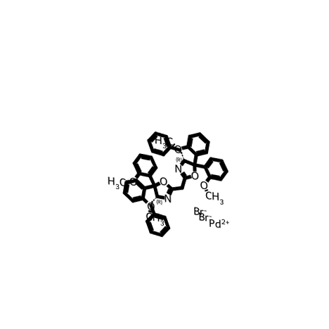 COc1ccccc1C1(c2ccccc2OC)OC(CC2=N[C@H](Cc3ccccc3)C(c3ccccc3OC)(c3ccccc3OC)O2)=N[C@@H]1Cc1ccccc1.[Br-].[Br-].[Pd+2]